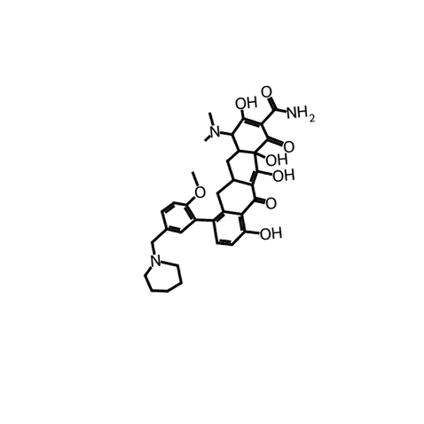 COc1ccc(CN2CCCCC2)cc1-c1ccc(O)c2c1CC1CC3C(N(C)C)C(O)=C(C(N)=O)C(=O)C3(O)C(O)=C1C2=O